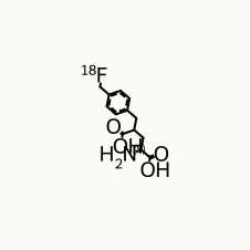 N[C@@H](CC(Cc1ccc(C[18F])cc1)C(=O)O)C(=O)O